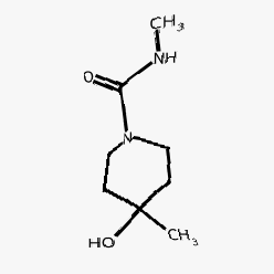 CNC(=O)N1CCC(C)(O)CC1